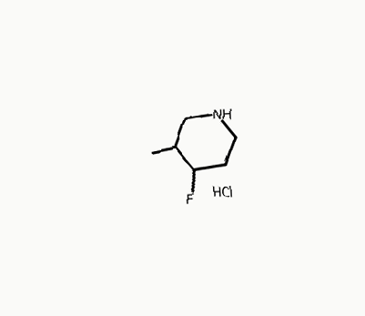 CC1CNCCC1F.Cl